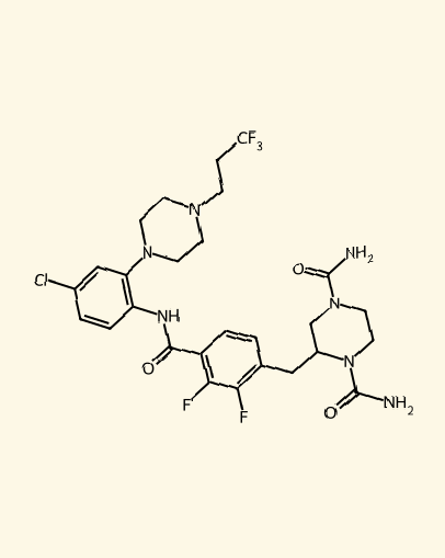 NC(=O)N1CCN(C(N)=O)C(Cc2ccc(C(=O)Nc3ccc(Cl)cc3N3CCN(CCC(F)(F)F)CC3)c(F)c2F)C1